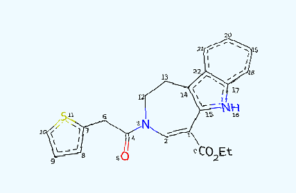 CCOC(=O)C1=CN(C(=O)Cc2cccs2)CCc2c1[nH]c1ccccc21